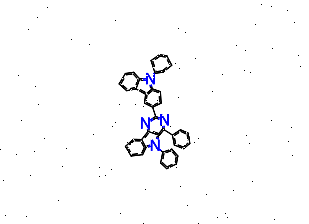 c1ccc(-c2nc(-c3ccc4c(c3)c3ccccc3n4-c3ccccc3)nc3c4ccccc4n(-c4ccccc4)c23)cc1